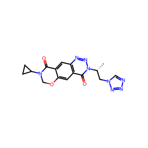 C[C@H](Cn1cnnn1)n1nnc2cc3c(cc2c1=O)OCN(C1CC1)C3=O